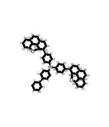 c1ccc(-c2ccc(N(c3ccc(-c4ccc5ccc6cccc7oc4c5c67)cc3)c3ccc(-c4ccc5ccc6cccc7oc4c5c67)cc3)cc2)cc1